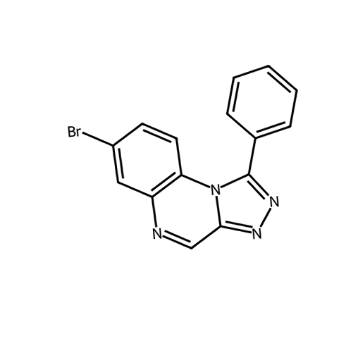 Brc1ccc2c(c1)ncc1nnc(-c3ccccc3)n12